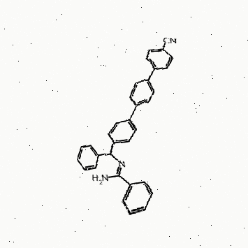 N#Cc1ccc(-c2ccc(-c3ccc(C(/N=C(\N)c4ccccc4)c4ccccc4)cc3)cc2)cc1